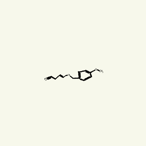 COc1ccc(COC=CCC=O)cc1